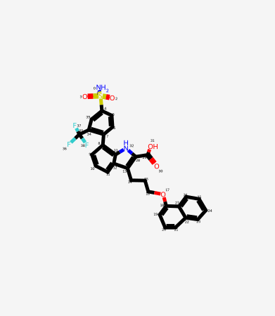 NS(=O)(=O)c1ccc(-c2cccc3c(CCCOc4cccc5ccccc45)c(C(=O)O)[nH]c23)c(C(F)(F)F)c1